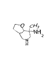 CC1(N)CNCC2CCOC21